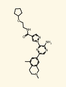 Cc1cc(-c2cnc(N)c(-n3cc(C(=O)NCCOC4CCCC4)cn3)n2)cc2c1CCN(C)C2